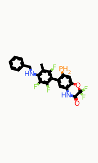 Cc1c(F)c(-c2cc3c(cc2P)OC(F)(F)C(=O)N3)c(F)c(F)c1NCc1ccccc1